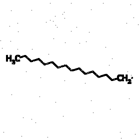 [CH2]CCCCCCCCCCCCCCC